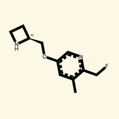 Cc1cc(OC[C@@H]2CCN2)cnc1CF